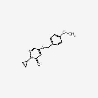 COc1ccc(CSc2cnn(C3CC3)c(=O)c2)cc1